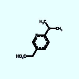 CN(C)c1ccc(CC(=O)O)cn1